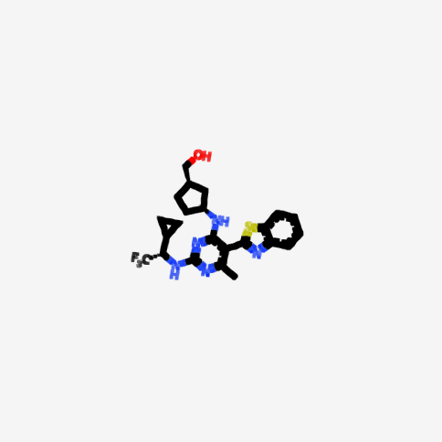 Cc1nc(N[C@@H](C2CC2)C(F)(F)F)nc(N[C@H]2CC[C@@H](CO)C2)c1-c1nc2ccccc2s1